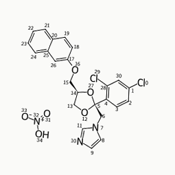 Clc1ccc([C@]2(Cn3ccnc3)OC[C@@H](COc3ccc4ccccc4c3)O2)c(Cl)c1.O=[N+]([O-])O